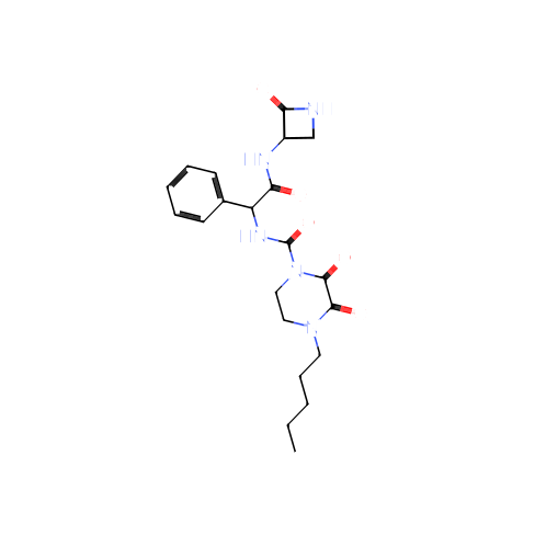 CCCCCN1CCN(C(=O)NC(C(=O)NC2CNC2=O)c2ccccc2)C(=O)C1=O